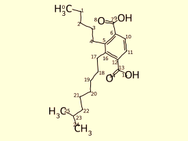 CCCCCc1c(C(=O)O)ccc(C(=O)O)c1CCCCCCC(C)C